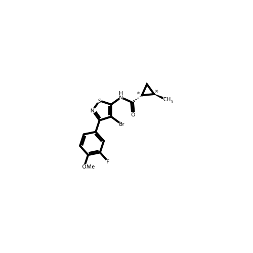 COc1ccc(-c2nsc(NC(=O)[C@@H]3C[C@H]3C)c2Br)cc1F